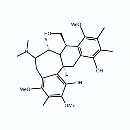 COc1c(C)c(OC)c2c(c1O)[C@@H]1Cc3c(O)c(C)c(C)c(OC)c3[C@H](CO)C1[C@@H](C)C(N(C)C)C2